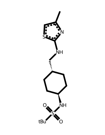 Cc1csc(NC[C@H]2CC[C@H](NS(=O)(=O)C(C)(C)C)CC2)n1